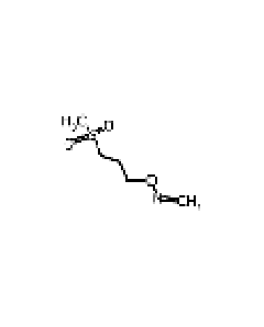 C=NOCCCS(C)(=O)=O